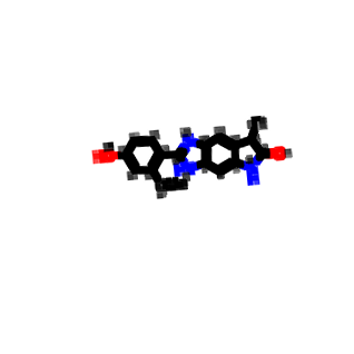 CCC1C(=O)Nc2cc3[nH]c(-c4ccc(O)cc4OC)nc3cc21